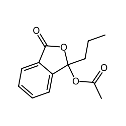 CCCC1(OC(C)=O)OC(=O)c2ccccc21